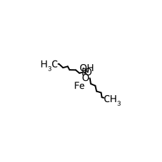 CCCCCCCOP(=O)(O)CCCCCCC.[Fe]